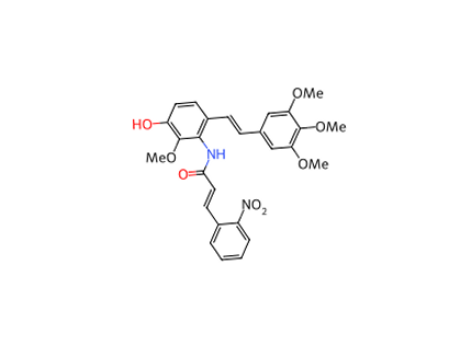 COc1cc(C=Cc2ccc(O)c(OC)c2NC(=O)/C=C/c2ccccc2[N+](=O)[O-])cc(OC)c1OC